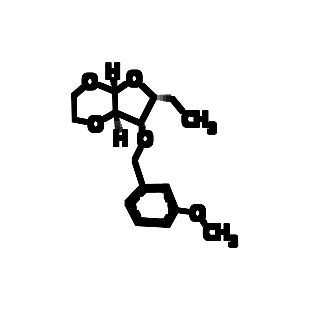 CC[C@H]1O[C@@H]2OCCO[C@@H]2[C@H]1OCc1cccc(OC)c1